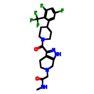 CNC(=O)CN1CCc2c(C(=O)N3CCC(c4cc(F)cc(F)c4C(F)(F)F)CC3)n[nH]c2C1